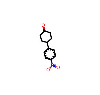 O=C1CCC(c2ccc([N+](=O)[O-])cc2)CC1